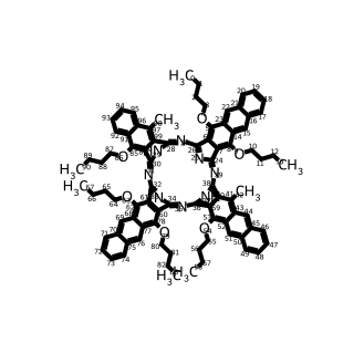 CCCCOc1c2c(c(OCCCC)c3cc4ccccc4cc13)-c1nc-2nc2[nH]c(nc3nc(nc4[nH]c(n1)c1c(C)c5cc6ccccc6cc5c(OCCCC)c41)-c1c-3c(OCCCC)c3cc4ccccc4cc3c1OCCCC)c1c(OCCCC)c3ccccc3c(C)c21